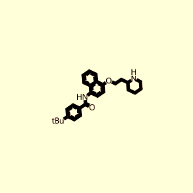 CC(C)(C)c1ccc(C(=O)Nc2ccc(OCCC3CCCCN3)c3ccccc23)cc1